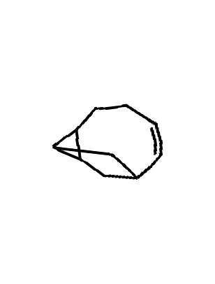 C1=C\C2CC3C(CC/1)C3C2